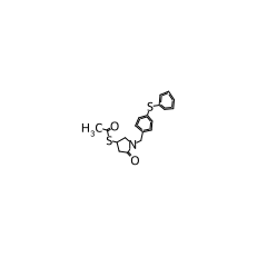 CC(=O)SC1CC(=O)N(Cc2ccc(Sc3ccccc3)cc2)C1